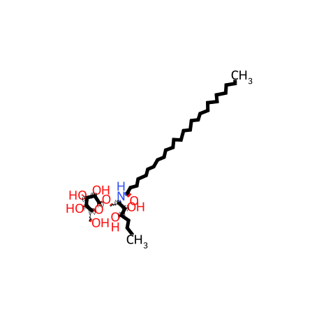 CCCCCCCCCCCCCCCCCCCCCCCCCC(=O)N[C@@H](CO[C@H]1O[C@H](CO)[C@H](O)[C@H](O)[C@H]1O)[C@H](O)[C@H](O)CCCC